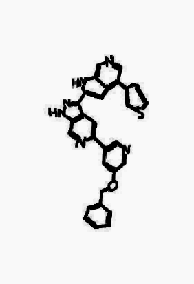 c1ccc(COc2cncc(-c3cc4c(-c5cc6c(-c7ccsc7)cncc6[nH]5)n[nH]c4cn3)c2)cc1